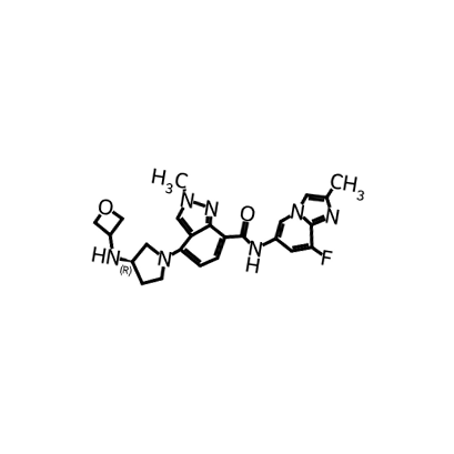 Cc1cn2cc(NC(=O)c3ccc(N4CC[C@@H](NC5COC5)C4)c4cn(C)nc34)cc(F)c2n1